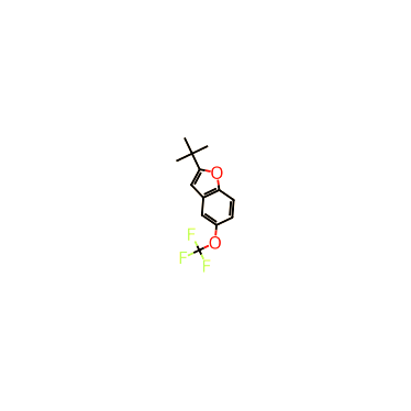 CC(C)(C)c1cc2cc(OC(F)(F)F)ccc2o1